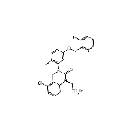 CCOC(=O)CN1C(=O)N(c2cc(OCc3ncccc3F)ccc2C)Cc2c(Cl)cccc21